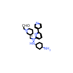 N[C@H]1CC[C@H](NN(C[C@@H]2CCCN(CC=O)C2)c2cccc(-c3ccncc3)n2)CC1